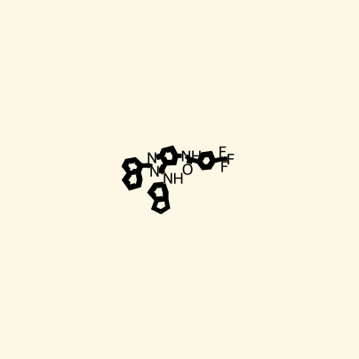 O=C(Nc1ccc2nc(-c3cccc4ccccc34)nc(Nc3ccc4c(c3)CCC4)c2c1)c1ccc(C(F)(F)F)cc1